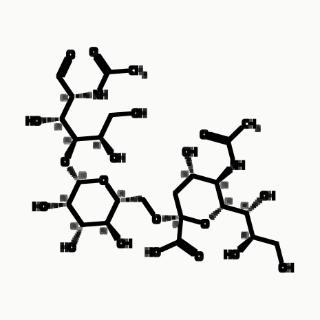 CC(=O)N[C@H]1[C@H]([C@H](O)[C@H](O)CO)O[C@@](OC[C@H]2O[C@@H](O[C@@H]([C@H](O)[C@H](C=O)NC(C)=O)[C@H](O)CO)[C@@H](O)[C@@H](O)[C@@H]2O)(C(=O)O)C[C@@H]1O